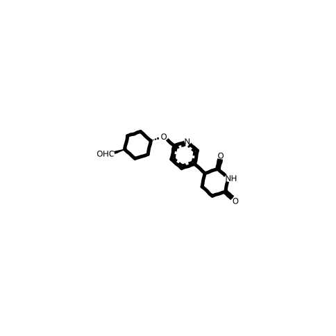 O=C[C@H]1CC[C@H](Oc2ccc(C3CCC(=O)NC3=O)cn2)CC1